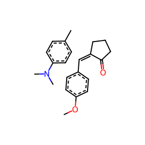 COc1ccc(C=C2CCCC2=O)cc1.Cc1ccc(N(C)C)cc1